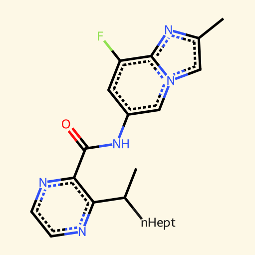 CCCCCCCC(C)c1nccnc1C(=O)Nc1cc(F)c2nc(C)cn2c1